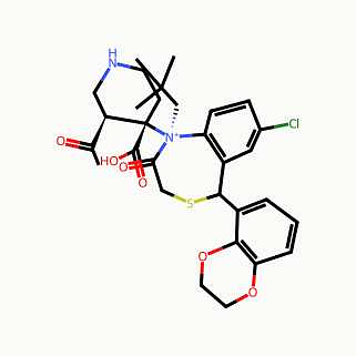 CC(=O)[C@H]1CNCC[C@]1(C(=O)O)[N@+]1(CC(C)(C)C)C(=O)CSC(c2cccc3c2OCCO3)c2cc(Cl)ccc21